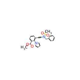 COC(=O)c1cccc(C#CN(Cc2ccccc2)S(C)(=O)=O)c1-n1cccc1